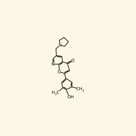 Cc1cc(-c2cc(=O)c3cc(CN4CCCC4)cnc3o2)cc(C)c1O